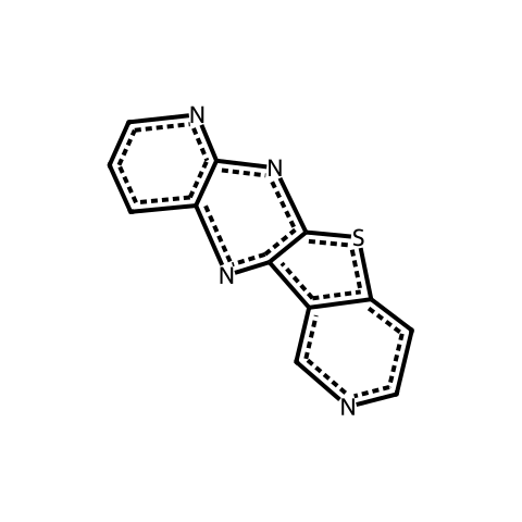 c1cnc2nc3sc4ccncc4c3nc2c1